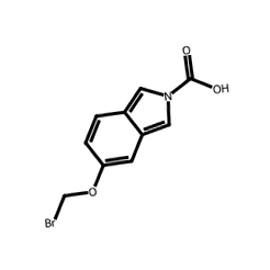 O=C(O)n1cc2ccc(OCBr)cc2c1